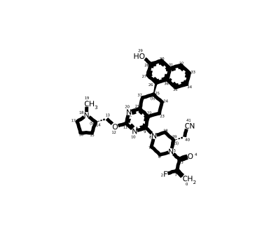 C=C(F)C(=O)N1CCN(c2nc(OC[C@@H]3CCCN3C)nc3c2CC[C@H](c2cc(O)cc4ccccc24)C3)C[C@@H]1CC#N